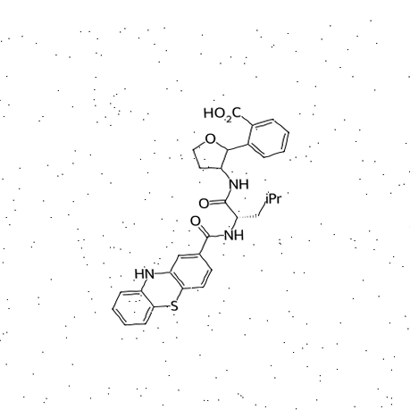 CC(C)C[C@H](NC(=O)c1ccc2c(c1)Nc1ccccc1S2)C(=O)NC1CCOC1c1ccccc1C(=O)O